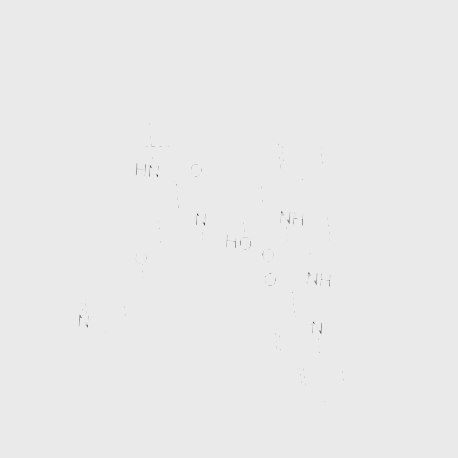 CC(C)[C@H](NC(=O)c1ccc2ccccc2n1)C(=O)NC(Cc1ccccc1)C(O)CN1CCC(OCc2ccncc2)CC1C(=O)NC(C)(C)C